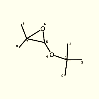 CC(C)(C)OC1OC1(C)C